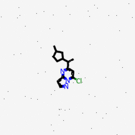 CC1CCC(C(C)c2cc(Cl)n3nccc3n2)C1